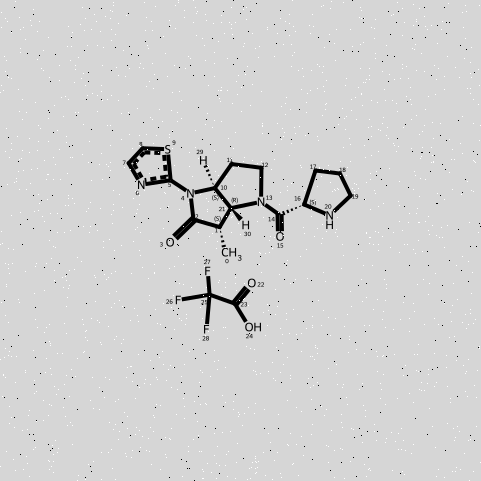 C[C@@H]1C(=O)N(c2nccs2)[C@H]2CCN(C(=O)[C@@H]3CCCN3)[C@H]12.O=C(O)C(F)(F)F